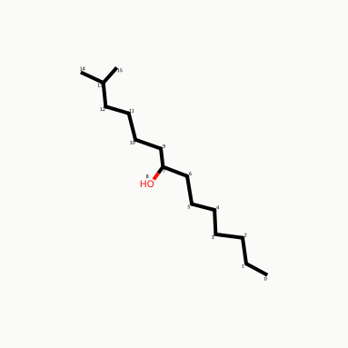 CCCCCCCC(O)CCCCC(C)C